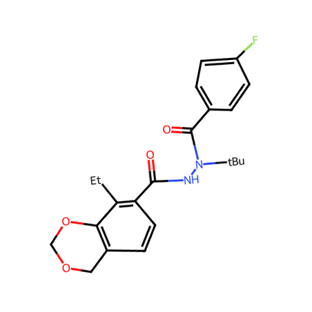 CCc1c(C(=O)NN(C(=O)c2ccc(F)cc2)C(C)(C)C)ccc2c1OCOC2